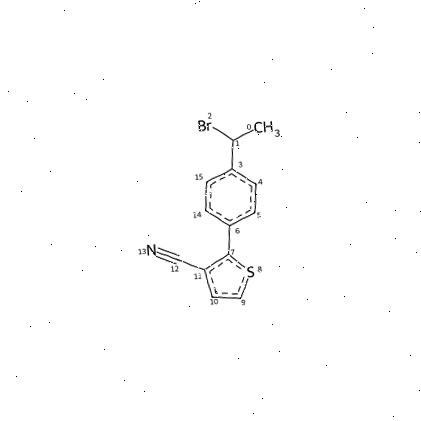 CC(Br)c1ccc(-c2sccc2C#N)cc1